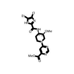 CCc1[nH]c(C(=O)N[C@@H]2CCN(c3cc(C(=O)OC)ncn3)C[C@@H]2OC)nc1Cl